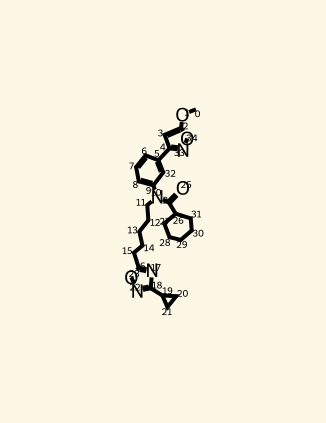 COc1cc(-c2cccc(N(CCCCCc3nc(C4CC4)no3)C(=O)C3CCCCC3)c2)no1